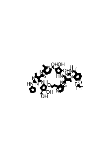 Cc1nc(NC2CCCC2)nc(NC2C[C@H](CO)[C@@H](O)[C@H]2OCCc2nccc3sc(-c4c(C)nc(N[C@H](C)c5ccc(OC(F)(F)F)cc5)nc4N[C@@H]4C[C@H](CO)[C@@H](O)[C@H]4O)nc23)c1-c1nc2c(C)nccc2s1